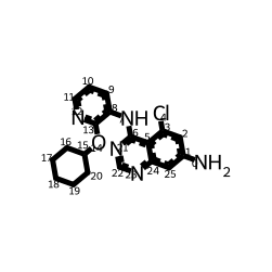 Nc1cc(Cl)c2c(Nc3cccnc3OC3CCCCC3)ncnc2c1